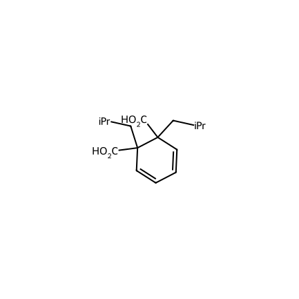 CC(C)CC1(C(=O)O)C=CC=CC1(CC(C)C)C(=O)O